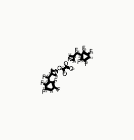 O=C(ON1CC(C(F)c2c(F)c(F)cc(F)c2F)C1)C(=O)ON1CC(C(F)c2c(F)c(F)cc(F)c2F)C1